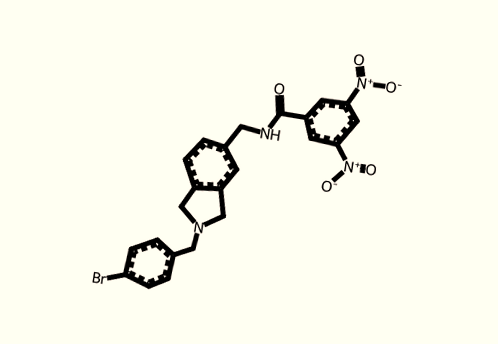 O=C(NCc1ccc2c(c1)CN(Cc1ccc(Br)cc1)C2)c1cc([N+](=O)[O-])cc([N+](=O)[O-])c1